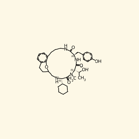 CC(O)[C@H]1C(=O)N[C@H](Cc2ccc(O)cc2)C(=O)NCCCc2cccc3c2OC(CC3)CN[C@@H](C2CCCCC2)C(=O)N1C